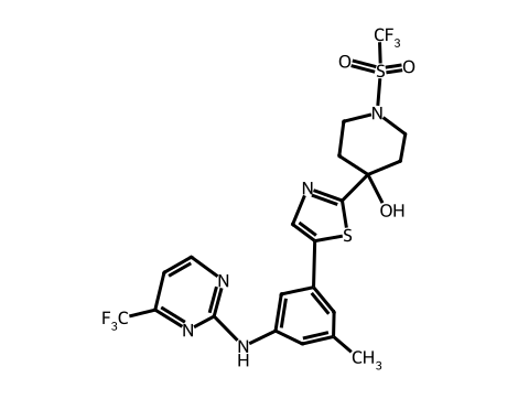 Cc1cc(Nc2nccc(C(F)(F)F)n2)cc(-c2cnc(C3(O)CCN(S(=O)(=O)C(F)(F)F)CC3)s2)c1